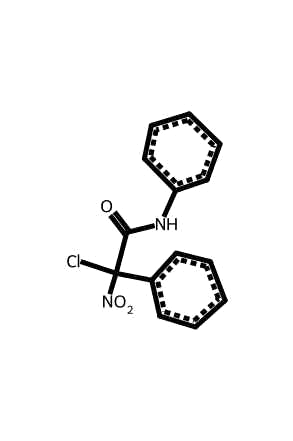 O=C(Nc1ccccc1)C(Cl)(c1ccccc1)[N+](=O)[O-]